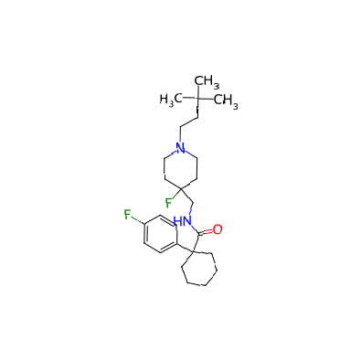 CC(C)(C)CCN1CCC(F)(CNC(=O)C2(c3ccc(F)cc3)CCCCC2)CC1